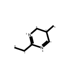 CCC1=NCC(C)C=N1